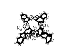 CC(C)P1c2cc3ccccc3cc2N(C)c2cc3cc4ccccc4cc3cc2[PH](C)(C(C)C)c2cc3cc4ccccc4cc3cc2N(C)c2cc3ccccc3cc21